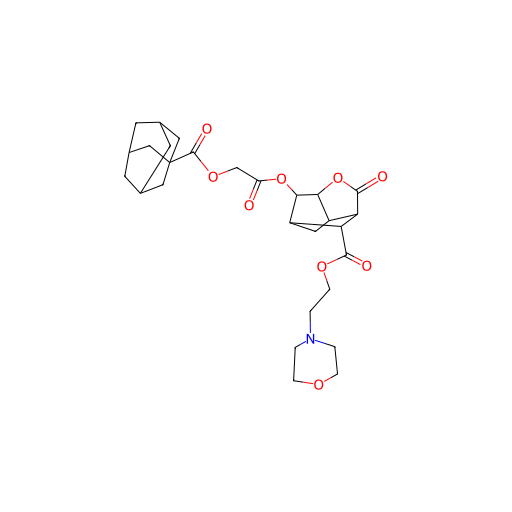 O=C(COC(=O)C12CC3CC(CC(C3)C1)C2)OC1C2CC3C1OC(=O)C3C2C(=O)OCCN1CCOCC1